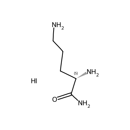 I.NCCC[C@H](N)C(N)=O